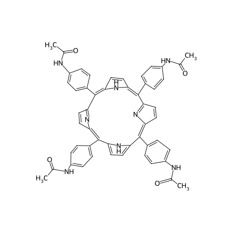 CC(=O)Nc1ccc(-c2c3nc(c(-c4ccc(NC(C)=O)cc4)c4ccc([nH]4)c(-c4ccc(NC(C)=O)cc4)c4nc(c(-c5ccc(NC(C)=O)cc5)c5ccc2[nH]5)C=C4)C=C3)cc1